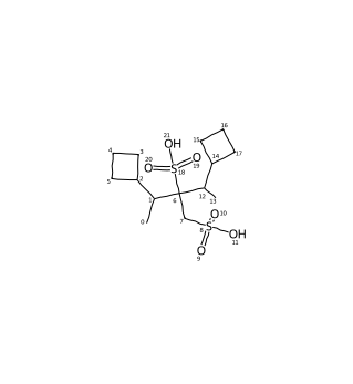 CC(C1CCC1)C(CS(=O)(=O)O)(C(C)C1CCC1)S(=O)(=O)O